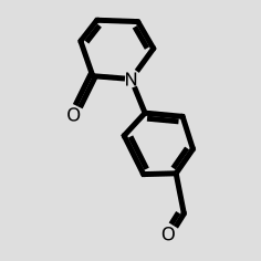 O=Cc1ccc(-n2ccccc2=O)cc1